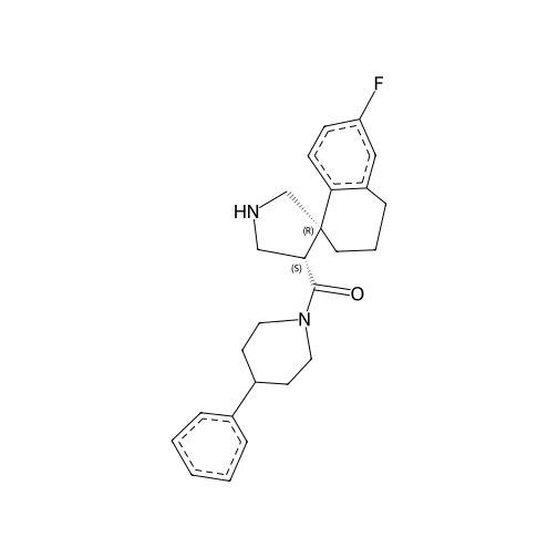 O=C([C@@H]1CNC[C@]12CCCc1cc(F)ccc12)N1CCC(c2ccccc2)CC1